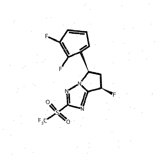 O=S(=O)(c1nc2n(n1)[C@@H](c1cccc(F)c1F)C[C@H]2F)C(F)(F)F